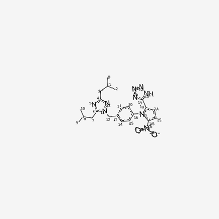 CC(C)Cc1nc(CC(C)C)n(Cc2ccc(-n3c(-c4nnn[nH]4)ccc3[N+](=O)[O-])cc2)n1